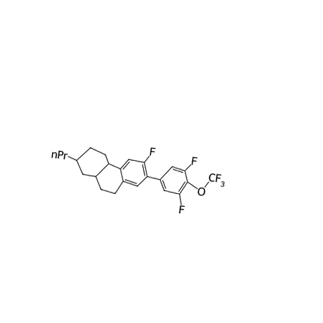 CCCC1CCC2c3cc(F)c(-c4cc(F)c(OC(F)(F)F)c(F)c4)cc3CCC2C1